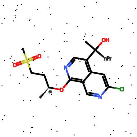 CCCC(C)(O)c1cnc(O[C@H](C)CCS(C)(=O)=O)c2cnc(Cl)cc12